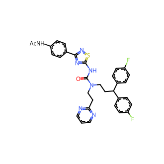 CC(=O)Nc1ccc(-c2nsc(NC(=O)N(CCc3ncccn3)CCC(c3ccc(F)cc3)c3ccc(F)cc3)n2)cc1